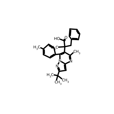 Cc1ccc(-c2c(C(C)(Cc3ccccc3)C(=O)O)c(C)nc3cc(C(C)(C)C)nn23)cc1